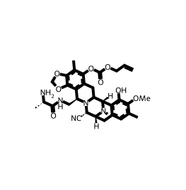 C=CCOC(=O)Oc1c(C)c2c(c3c1CC1[C@@H]4c5c(cc(C)c(OC)c5O)C[C@H]([C@H](C#N)N1[C@H]3CNC(=O)[C@H](C)N)N4C)OCO2